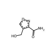 NC(=O)c1nocc1CO